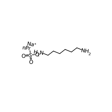 CCCS(=O)(=O)[O-].NCCCCCCN.[Na+]